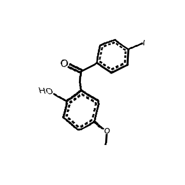 COc1ccc(O)c(C(=O)c2ccc(I)cc2)c1